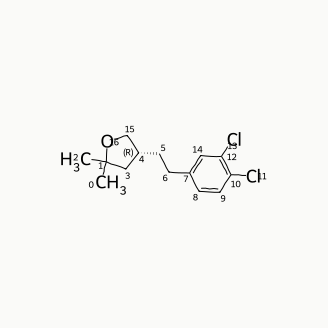 CC1(C)C[C@@H](CCc2ccc(Cl)c(Cl)c2)CO1